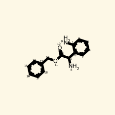 Nc1ccccc1C(N)C(=O)OCc1ccccc1